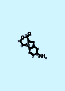 Nc1ccc2c(c1)cc1n2CCOC1=O